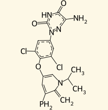 C=C1C(P)=CC(Oc2c(Cl)cc(-n3nc(N)c(=O)[nH]c3=O)cc2Cl)=CN1C(C)C